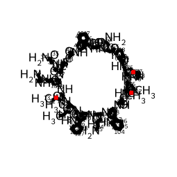 CCCC[C@H]1C(=O)N(C)[C@@H](CCCC)C(=O)N[C@@H](CCCNC(=N)N)C(=O)N[C@H](C(=O)NCC(N)=O)CSCC(=O)N[C@@H](Cc2ccccc2)C(=O)N(C)[C@@H](C)C(=O)N[C@@H](CC(N)=O)C(=O)N2CCC[C@H]2C(=O)N[C@@H](Cc2cnc[nH]2)C(=O)N[C@@H](CC(C)C)C(=O)N(C)CC(=O)N[C@@H](Cc2c[nH]c3ccccc23)C(=O)N[C@@H](CCCN)C(=O)N[C@@H](Cc2c[nH]c3ccccc23)C(=O)N1C